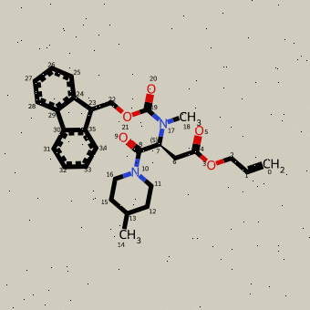 C=CCOC(=O)C[C@@H](C(=O)N1CCC(C)CC1)N(C)C(=O)OCC1c2ccccc2-c2ccccc21